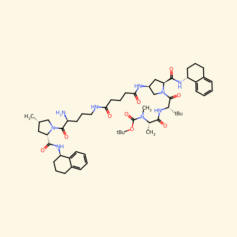 C[C@H]1C[C@@H](C(=O)N[C@@H]2CCCc3ccccc32)N(C(=O)[C@@H](N)CCCNC(=O)CCCC(=O)N[C@H]2C[C@@H](C(=O)N[C@@H]3CCCc4ccccc43)N(C(=O)[C@@H](NC(=O)[C@H](C)N(C)C(=O)OC(C)(C)C)C(C)(C)C)C2)C1